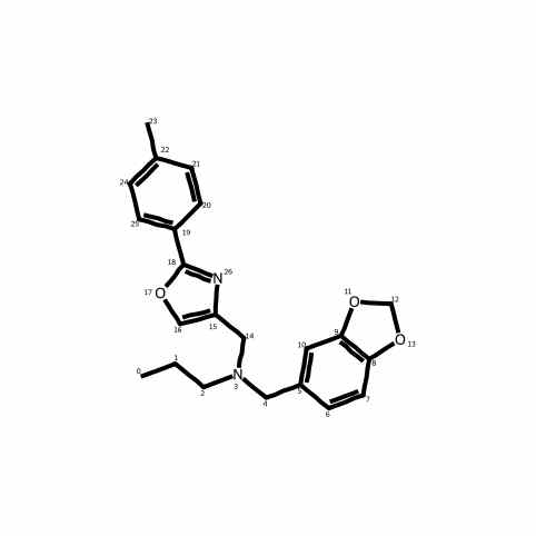 CCCN(Cc1ccc2c(c1)OCO2)Cc1coc(-c2ccc(C)cc2)n1